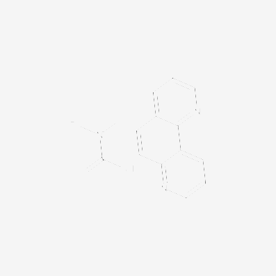 CCN(CC)C(=S)S.c1cnc2c(c1)ccc1ncccc12